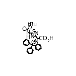 CC(C)(C)OC(=O)Nc1nc(C(=NOC(c2ccccc2)(c2ccccc2)c2ccccc2)C(=O)O)ns1